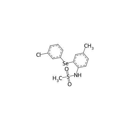 Cc1ccc(NS(C)(=O)=O)c([Se]c2cccc(Cl)c2)c1